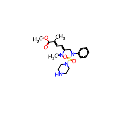 C=N/C(=C\C=C(/C)C(=O)OC)CN(c1ccccc1)S(=O)(=O)N1CCNCC1